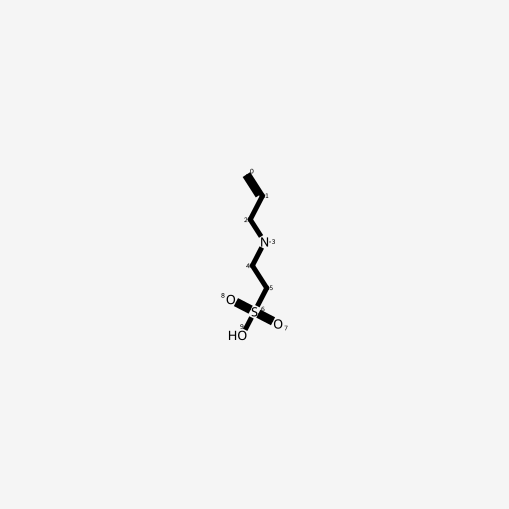 C=CC[N]CCS(=O)(=O)O